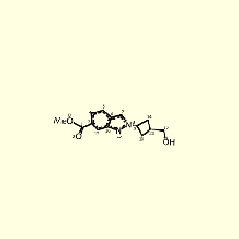 COC(=O)c1ccc2cn([C@H]3C[C@H](CO)C3)nc2c1